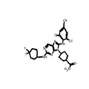 N#Cc1cc(Cl)c(Nc2nc3cnc(NC4CCC(F)(F)CC4)nc3n2C2CCC(C(N)=O)CC2)c(Cl)c1